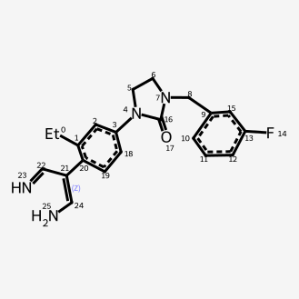 CCc1cc(N2CCN(Cc3cccc(F)c3)C2=O)ccc1/C(C=N)=C/N